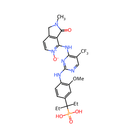 CCC(CC)(c1ccc(Nc2ncc(C(F)(F)F)c(Nc3c4c(cc[n+]3[O-])CN(C)C4=O)n2)c(OC)c1)P(=O)(O)O